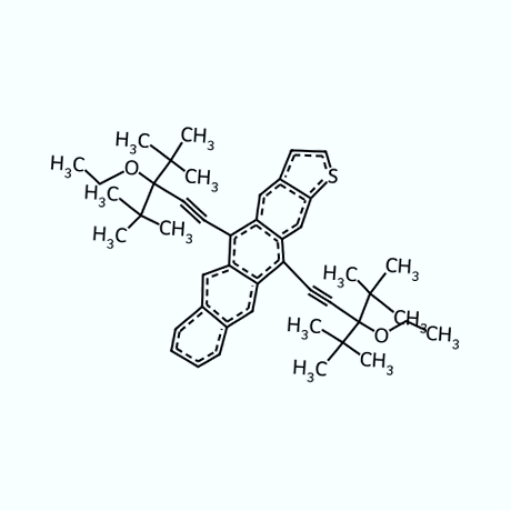 CCOC(C#Cc1c2cc3ccccc3cc2c(C#CC(OCC)(C(C)(C)C)C(C)(C)C)c2cc3sccc3cc12)(C(C)(C)C)C(C)(C)C